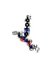 CCC1CCC([C@H]2CC=C(c3cnc(-c4ccc(C[C@H](NC(=O)c5ccc(C(C)(C)C)s5)C(=O)N5CC(C(=O)OCCN(C)C)C5)cc4)nc3)CC2)CC1